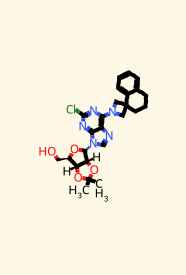 CC1(C)O[C@@H]2[C@H](O1)[C@@H](CO)O[C@H]2n1cnc2c(N3CC4(CCCc5ccccc54)C3)nc(Cl)nc21